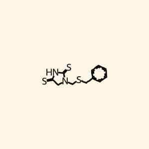 S=C1CN(CSCc2ccccc2)C(=S)N1